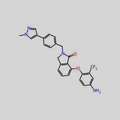 Cn1cc(-c2ccc(CN3Cc4cccc(Oc5ccc(N)cc5C(F)(F)F)c4C3=O)cc2)cn1